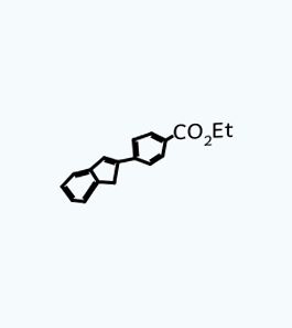 CCOC(=O)c1ccc(C2=Cc3ccccc3C2)cc1